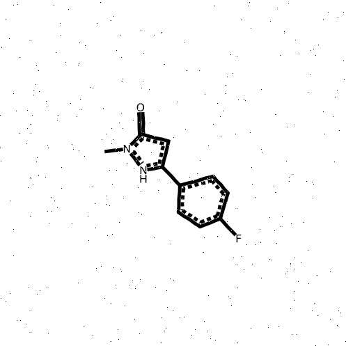 Cn1[nH]c(-c2ccc(F)cc2)cc1=O